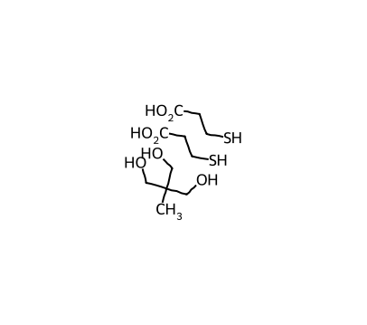 CC(CO)(CO)CO.O=C(O)CCS.O=C(O)CCS